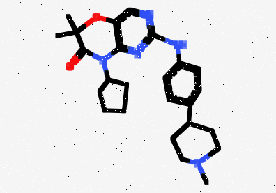 CN1CCC(c2ccc(Nc3ncc4c(n3)N(C3CCCC3)C(=O)C(C)(C)O4)cc2)CC1